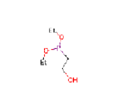 CCOP(CCO)OCC